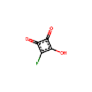 O=c1c(O)c(F)c1=O